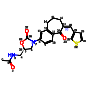 CC(=O)NC[C@H]1CN(c2ccc3c(c2)CCC/C(=C/c2ccsc2)C3=O)C(=O)O1